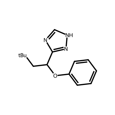 CC(C)(C)CC(Oc1ccccc1)c1nc[nH]n1